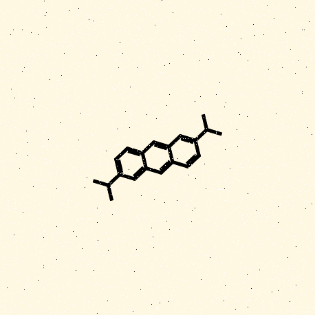 CC(C)c1ccc2cc3cc(C(C)C)ccc3cc2c1